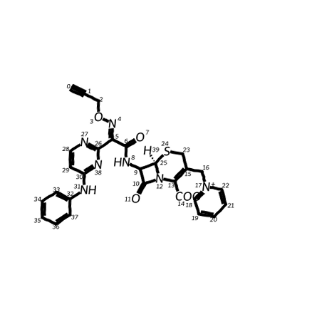 C#CCO/N=C(/C(=O)NC1C(=O)N2C(C(=O)[O-])=C(C[n+]3ccccc3)CS[C@H]12)c1nccc(Nc2ccccc2)n1